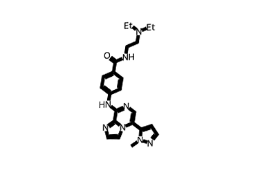 CCN(CC)CCNC(=O)c1ccc(Nc2ncc(-c3ccnn3C)n3ccnc23)cc1